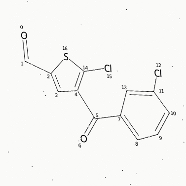 O=Cc1cc(C(=O)c2cccc(Cl)c2)c(Cl)s1